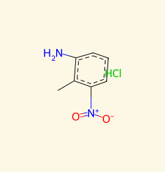 Cc1c(N)cccc1[N+](=O)[O-].Cl